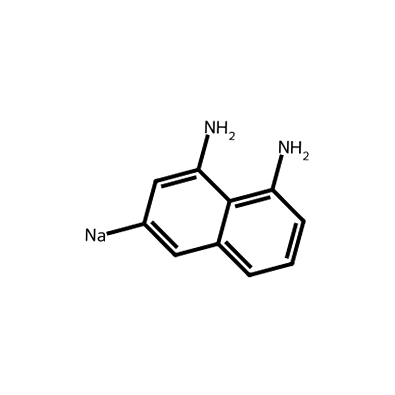 Nc1cccc2c[c]([Na])cc(N)c12